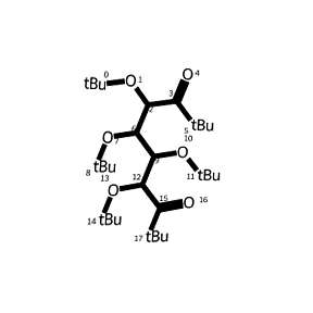 CC(C)(C)OC(C(=O)C(C)(C)C)C(OC(C)(C)C)C(OC(C)(C)C)C(OC(C)(C)C)C(=O)C(C)(C)C